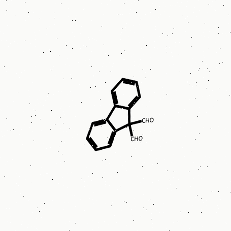 O=CC1(C=O)c2ccccc2-c2ccccc21